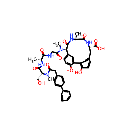 C[C@@H]1NC(=O)[C@@H](N(C)C(=O)CNC(=O)[C@@H](C)NC(=O)[C@@H](CO)N(C)C(=O)Cc2ccc(-c3ccccc3)cc2)c2ccc(O)c(c2)-c2cc(ccc2O)C[C@@H](C(=O)O)NC1=O